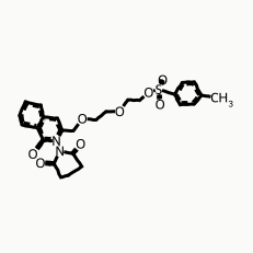 Cc1ccc(S(=O)(=O)OCCOCCOCc2cc3ccccc3c(=O)n2N2C(=O)CCCC2=O)cc1